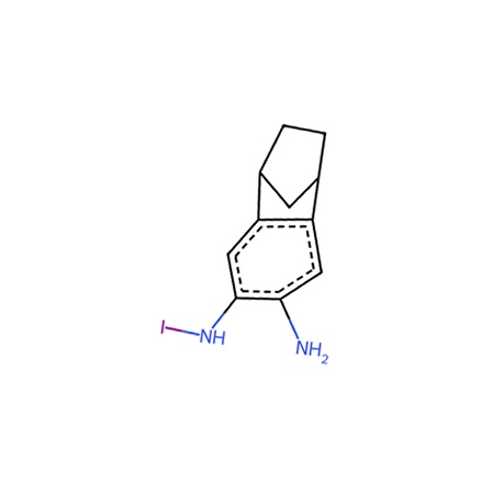 Nc1cc2c(cc1NI)C1CCC2C1